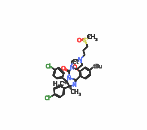 CCOc1cc(C(C)(C)C)ccc1C1=N[C@@](C)(c2ccc(Cl)cc2)[C@@](C)(c2ccc(Cl)cc2)N1C(=O)N1CCN(CCC[S+](C)[O-])CC1